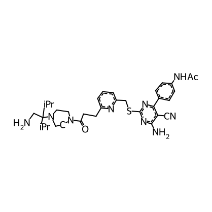 CC(=O)Nc1ccc(-c2nc(SCc3cccc(CCC(=O)N4CCN(C(CN)(C(C)C)C(C)C)CC4)n3)nc(N)c2C#N)cc1